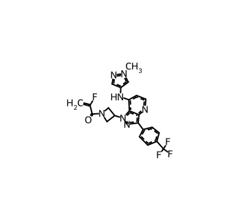 C=C(F)C(=O)N1CC(n2nc(-c3ccc(C(F)(F)F)cc3)c3nccc(Nc4cnn(C)c4)c32)C1